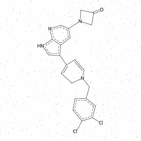 O=C1CN(c2cnc3[nH]cc(C4=CCN(Cc5ccc(Cl)c(Cl)c5)C=C4)c3c2)C1